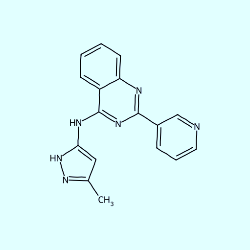 Cc1cc(Nc2nc(-c3cccnc3)nc3ccccc23)[nH]n1